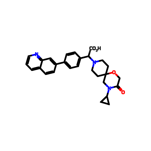 O=C(O)C(c1ccc(-c2ccc3cccnc3c2)cc1)N1CCC2(CC1)CN(C1CC1)C(=O)CO2